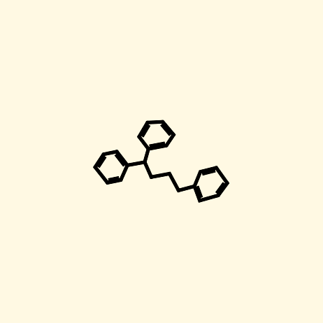 [CH](CCC(c1ccccc1)c1ccccc1)c1ccccc1